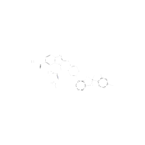 CN/C=C(\N)CN1C(CN2CCC(c3cccc4c3OC(C)(c3ccc(C)cc3F)O4)CC2)=NC2C=CC(C(=O)O)=CC21